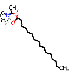 CCCCCCCCCCCCCCCC(=O)OC(C)N(C)C